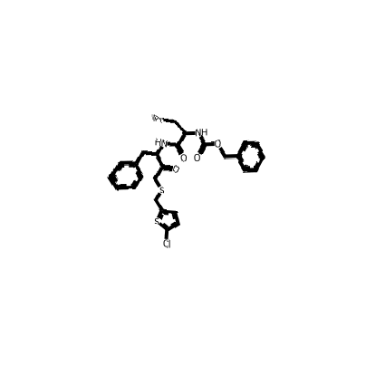 CC(C)CC(NC(=O)OCc1ccccc1)C(=O)NC(Cc1ccccc1)C(=O)CSCc1ccc(Cl)s1